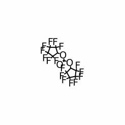 O=C(OC1C(F)(F)C(F)(F)C(F)(F)C1(F)F)OC1C(F)(F)C(F)(F)C(F)(F)C1(F)F